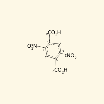 O=C(O)c1cc([N+](=O)[O-])c(C(=O)O)cc1[N+](=O)[O-]